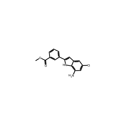 COC(=O)c1cccc(-c2cc3cc(Cl)cc(N)c3[nH]2)c1